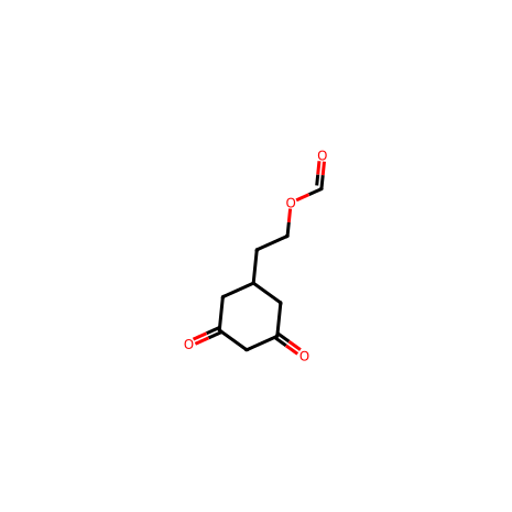 O=COCCC1CC(=O)CC(=O)C1